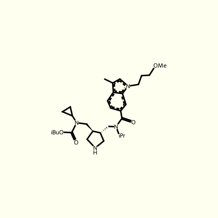 COCCCn1cc(C)c2ccc(C(=O)N(C[C@@H]3CNC[C@H]3CN(C(=O)OCC(C)C)C3CC3)C(C)C)cc21